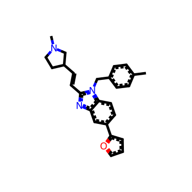 Cc1ccc(Cn2c(/C=C/C3CCN(C)C3)nc3cc(-c4ccco4)ccc32)cc1